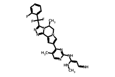 CN/C(=C\C=N)Nc1ncc(C)c(-c2cc3n(c2)C[C@H](C)n2c-3nnc2C(F)(F)c2ccccc2F)n1